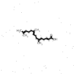 CC(C)=CCCC(C)=CCCC(C)=CCC=CC(=O)O